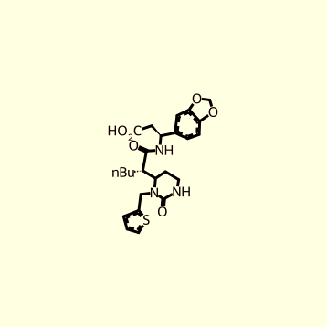 CCCC[C@H](C(=O)N[C@@H](CC(=O)O)c1ccc2c(c1)OCO2)C1CCNC(=O)N1Cc1cccs1